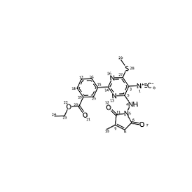 [C-]#[N+]c1c(NN2C(=O)C=C(C)C2=O)nc(-c2cccc(C(=O)OCC)c2)nc1SC